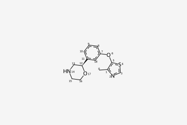 Cc1ncsc1Oc1cccc([C@@H]2CNCCO2)c1